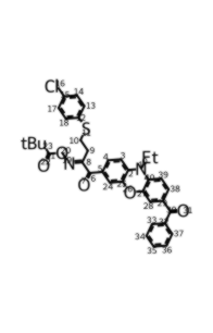 CCN1c2ccc(C(=O)/C(CCSc3ccc(Cl)cc3)=N/OC(=O)C(C)(C)C)cc2Oc2cc(C(=O)c3ccccc3)ccc21